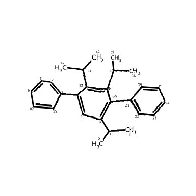 CC(C)c1cc(-c2ccccc2)c(C(C)C)c(C(C)C)c1-c1ccccc1